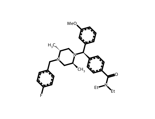 CCN(CC)C(=O)c1ccc([C@H](c2cccc(OC)c2)N2C[C@@H](C)N(Cc3ccc(F)cc3)C[C@@H]2C)cc1